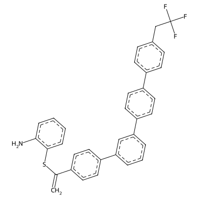 C=C(Sc1ccccc1N)c1ccc(-c2cccc(-c3ccc(-c4ccc(CC(F)(F)F)cc4)cc3)c2)cc1